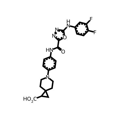 O=C(Nc1ccc(N2CCC3(CC2)CC3C(=O)O)cc1)c1nnc(Nc2ccc(F)c(F)c2)o1